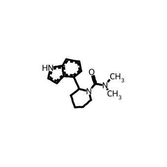 CN(C)C(=O)N1CCCCC1c1cccc2[nH]ccc12